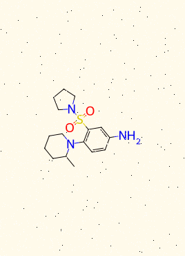 CC1CCCCN1c1ccc(N)cc1S(=O)(=O)N1CCCC1